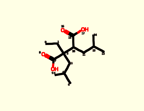 CCC(CC(C)C)(C(=O)O)C(CC(C)C)C(=O)O